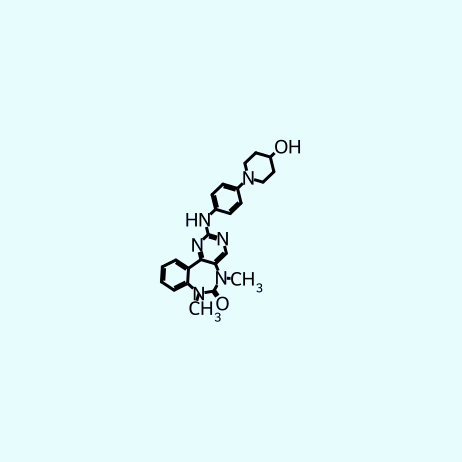 CN1C(=O)N(C)c2cnc(Nc3ccc(N4CCC(O)CC4)cc3)nc2-c2ccccc21